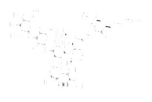 CCCCCCCCCCCCC/C=C/[C@@H](O)[C@H](CO[C@@H]1OC(CO)[C@@H](O[C@@H]2OC(CO)[C@H](O[C@@H]3OC(CO)[C@H](O)[C@H](O[C@@H]4OC(CO)[C@H](O)[C@H](O)C4O)C3C)[C@H](OC3C[C@@H](O)[C@@H](C)C([C@H](O)[C@H](O)CO)O3)C2O)[C@H](O)C1O)NC(=O)CCCCCCCCC